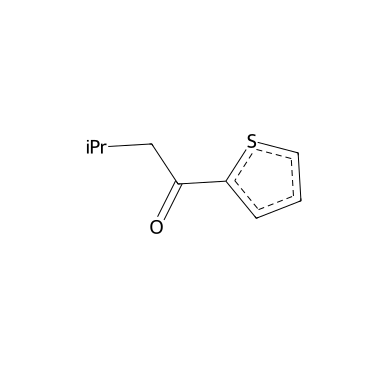 CC(C)CC(=O)c1cccs1